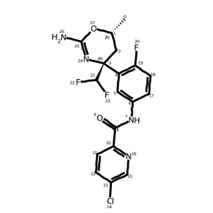 C[C@@H]1C[C@@](c2cc(NC(=O)c3ccc(Cl)cn3)ccc2F)(C(F)F)N=C(N)O1